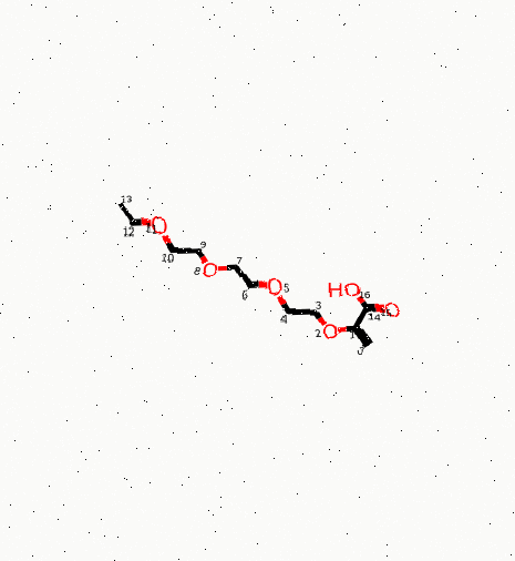 C=C(OCCOCCOCCOCC)C(=O)O